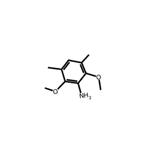 COc1c(C)cc(C)c(OC)c1N